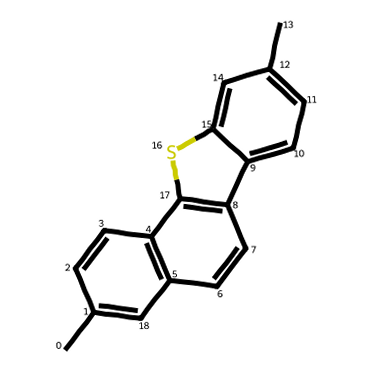 Cc1ccc2c(ccc3c4ccc(C)cc4sc23)c1